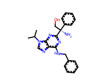 CC(C)n1cnc2c(NCc3ccccc3)nc([C@@](N)(CO)c3ccccc3)nc21